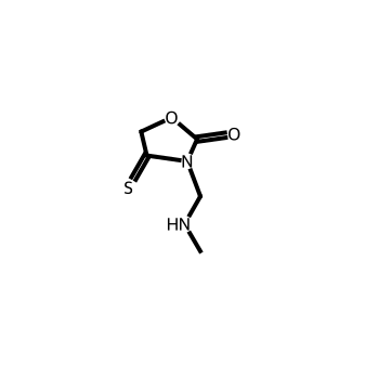 CNCN1C(=O)OCC1=S